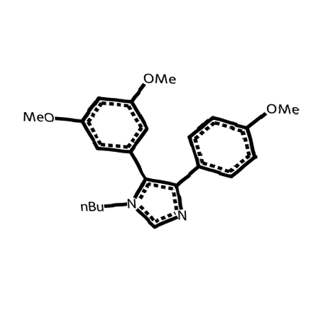 CCCCn1cnc(-c2ccc(OC)cc2)c1-c1cc(OC)cc(OC)c1